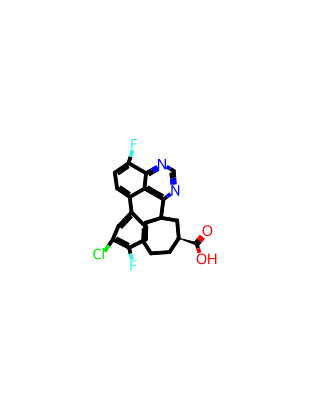 O=C(O)[C@H]1CCCCC(c2ncnc3c(F)ccc(-c4ccc(F)c(Cl)c4)c23)C1